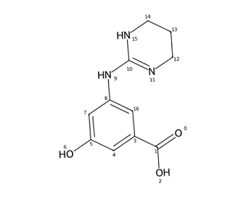 O=C(O)c1cc(O)cc(NC2=NCCCN2)c1